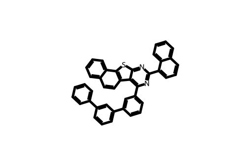 c1ccc(-c2cccc(-c3cccc(-c4nc(-c5cccc6ccccc56)nc5sc6c7ccccc7ccc6c45)c3)c2)cc1